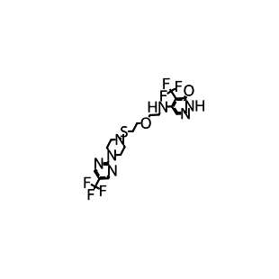 O=c1[nH]ncc(NCCOCCSN2CCN(c3ncc(C(F)(F)F)cn3)CC2)c1C(F)(F)F